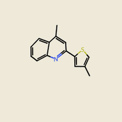 Cc1csc(-c2cc(C)c3ccccc3n2)c1